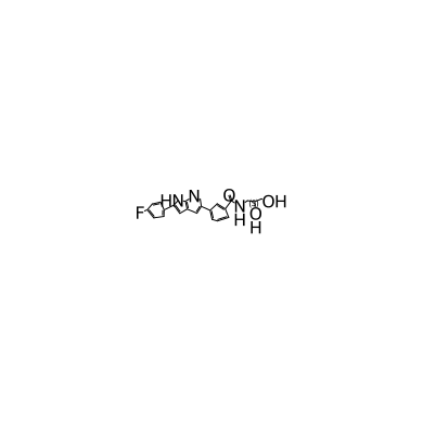 O=C(NC[C@H](O)CO)c1cccc(-c2cnc3[nH]c(-c4ccc(F)cc4)cc3c2)c1